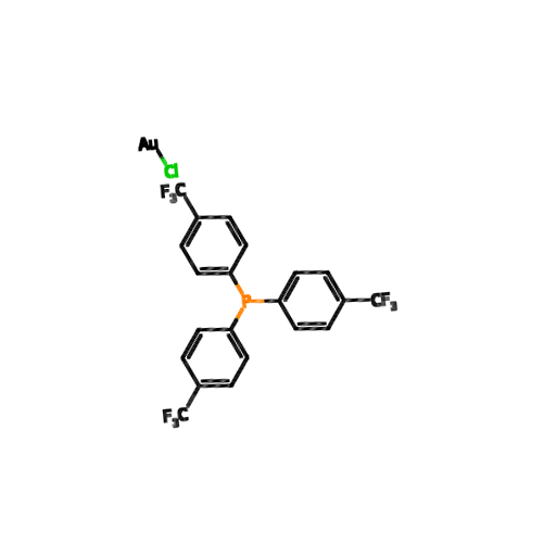 FC(F)(F)c1ccc(P(c2ccc(C(F)(F)F)cc2)c2ccc(C(F)(F)F)cc2)cc1.[Cl][Au]